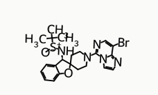 CC(C)(C)[S+]([O-])N[C@@H]1c2ccccc2OC12CCN(c1ncc(Br)c3nccn13)CC2